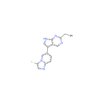 CC(C)Cc1ncc2c(-c3ccc4ncc(F)n4c3)c[nH]c2n1